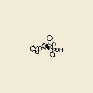 O=C(N[C@@H](CO)c1ccccc1)C(c1ccc(OCc2ccccc2Cl)cn1)C1CCCCCC1